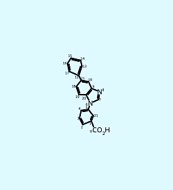 O=C(O)c1cccc(-n2cnc3cc(-c4ccccc4)ccc32)c1